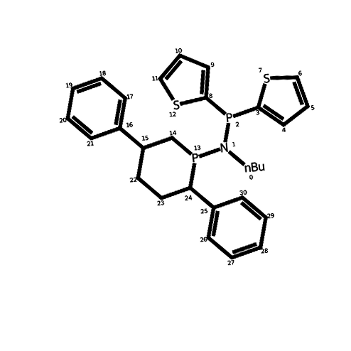 CCCCN(P(c1cccs1)c1cccs1)P1CC(c2ccccc2)CCC1c1ccccc1